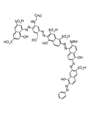 CNc1ccc2c(O)c(N=Nc3cc4c(O)c(N=Nc5ccccc5)ccc4cc3S(=O)(=O)O)ccc2c1N=Nc1ccc2c(O)c(N=Nc3cc(NCC=O)c(N=Nc4cc(S(=O)(=O)O)cc5cc(S(=O)(=O)O)cc(O)c45)cc3CO)c(S(=O)(=O)O)cc2c1S(=O)(=O)O